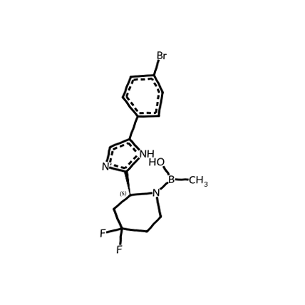 CB(O)N1CCC(F)(F)C[C@H]1c1ncc(-c2ccc(Br)cc2)[nH]1